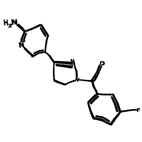 Nc1ccc(C2=NN(C(=O)c3cccc(F)c3)CC2)cn1